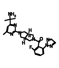 Cc1cc(C(C)(C)N)nc(N2C[C@H]3CN(C(=O)c4c(F)cccc4-n4nccn4)C[C@H]3C2)n1